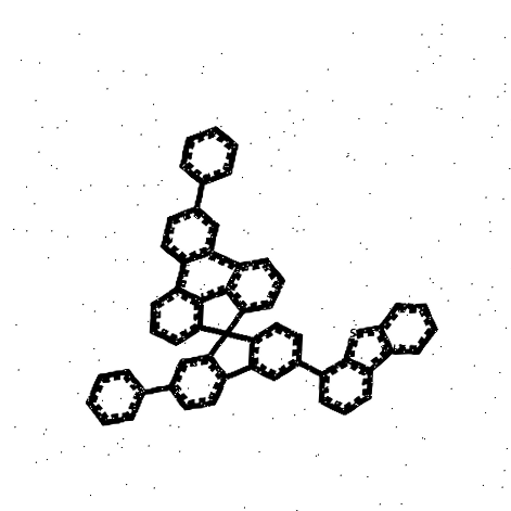 c1ccc(-c2ccc3c(c2)C2(c4ccc(-c5cccc6c5sc5ccccc56)cc4-3)c3cccc4c5ccc(-c6ccccc6)cc5c5cccc2c5c34)cc1